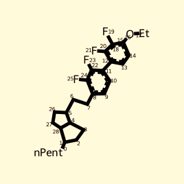 CCCCCC1CCC2C(CCc3ccc(-c4ccc(OCC)c(F)c4F)c(F)c3F)CCC12